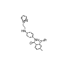 Cc1ccc(C(=O)Nc2ccc(NCCn3cccn3)cc2)c(OC(C)C)c1